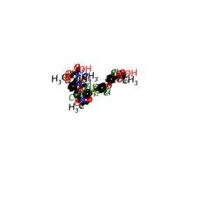 CC1COc2ccccc2N1C(=O)C(Cl)Cl.CCc1cccc(CC)c1N(COC)C(=O)CCl.CP(=O)(O)CCC(N)C(=O)O.C[C@H](OC(=O)c1cc(Oc2ccc(C(F)(F)F)cc2Cl)ccc1Cl)C(=O)O